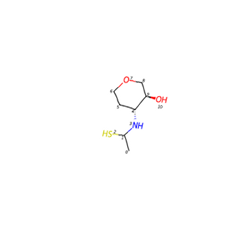 CC(S)N[C@@H]1CCOC[C@H]1O